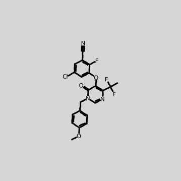 COc1ccc(Cn2cnc(C(C)(F)F)c(Oc3cc(Cl)cc(C#N)c3F)c2=O)cc1